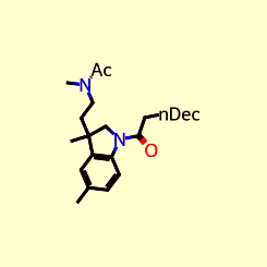 CCCCCCCCCCCC(=O)N1CC(C)(CCN(C)C(C)=O)c2cc(C)ccc21